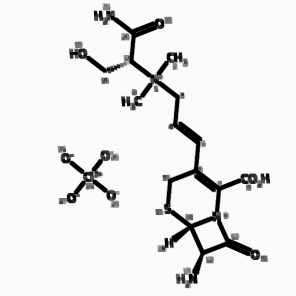 C[N+](C)(C/C=C/C1=C(C(=O)O)N2C(=O)[C@@H](N)[C@@H]2SC1)[C@H](CO)C(N)=O.[O-][Cl+3]([O-])([O-])[O-]